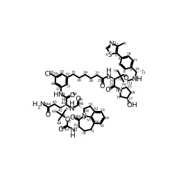 Cc1ncsc1-c1ccc([C@H](C)NC(=O)[C@@H]2C[C@@H](O)CN2C(=O)[C@@H](NC(=O)CCCCCc2cc(Cl)cc(NC(=O)[C@H](CCC(N)=O)NC(=O)[C@@H]3Cc4cccc5c4N3C(=O)[C@@H](NC(=O)OC(C)(C)C)CC5)c2)C(C)(C)C)cc1